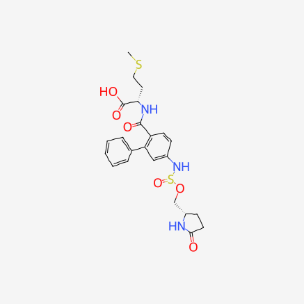 CSCC[C@H](NC(=O)c1ccc(NS(=O)OC[C@@H]2CCC(=O)N2)cc1-c1ccccc1)C(=O)O